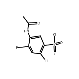 CC(=O)Nc1cc(S(=O)(=O)Cl)c(Cl)cc1F